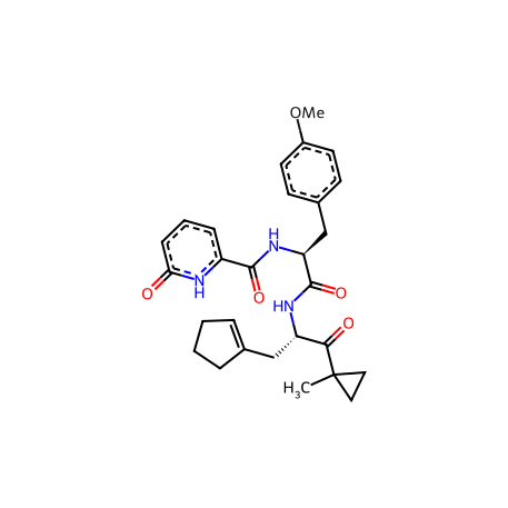 COc1ccc(C[C@H](NC(=O)c2cccc(=O)[nH]2)C(=O)N[C@@H](CC2=CCCC2)C(=O)C2(C)CC2)cc1